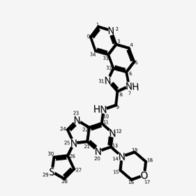 c1cnc2ccc3[nH]c(CNc4nc(N5CCOCC5)nc5c4ncn5-c4ccsc4)nc3c2c1